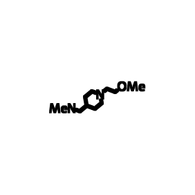 CNCC1CCN(CCOC)CC1